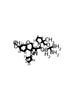 BC(B)(B)OCC1(C)CCCN1C(=O)c1nn(-c2ccsc2)c2c1COc1cc(OC)ccc1-2